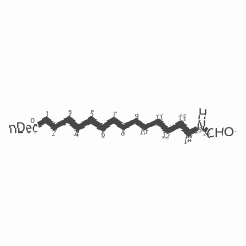 CCCCCCCCCCCCCCCCCCCCCCCCN[C]=O